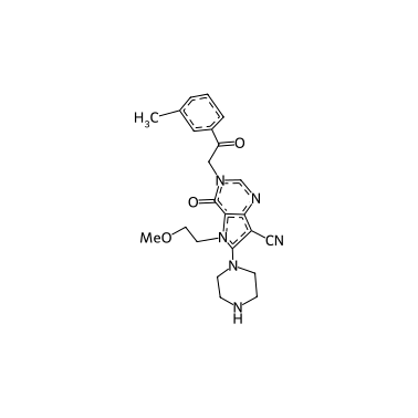 COCCn1c(N2CCNCC2)c(C#N)c2ncn(CC(=O)c3cccc(C)c3)c(=O)c21